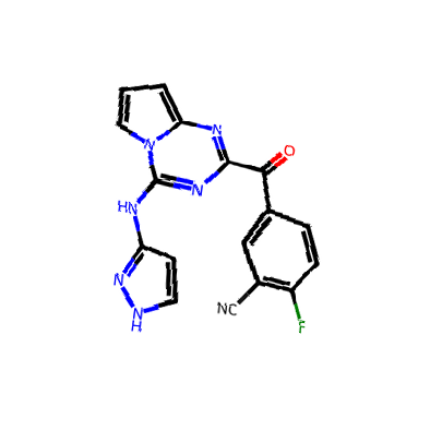 N#Cc1cc(C(=O)c2nc(Nc3cc[nH]n3)n3cccc3n2)ccc1F